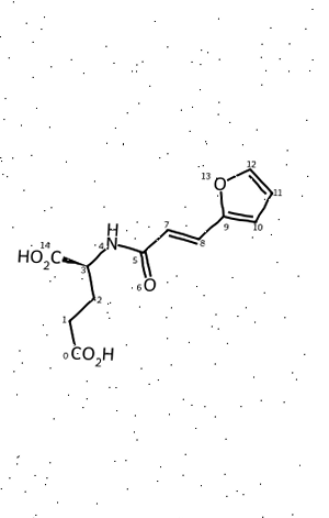 O=C(O)CC[C@H](NC(=O)C=Cc1ccco1)C(=O)O